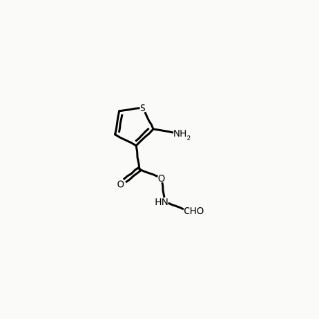 Nc1sccc1C(=O)ONC=O